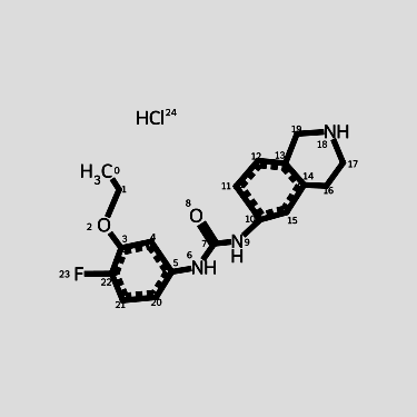 CCOc1cc(NC(=O)Nc2ccc3c(c2)CCNC3)ccc1F.Cl